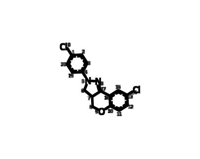 Clc1ccc(N2CC3COc4ccc(Cl)cc4C3=N2)cc1